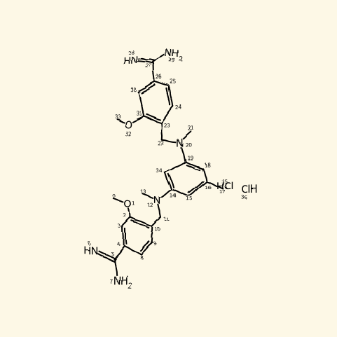 COc1cc(C(=N)N)ccc1CN(C)c1cc(C)cc(N(C)Cc2ccc(C(=N)N)cc2OC)c1.Cl.Cl